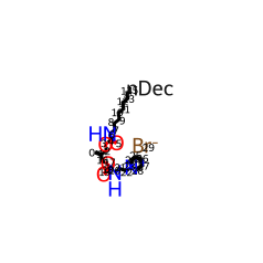 C=C(COC(=O)NCCCCCCCCCCCCCCCCCC)COC(=O)NCC[n+]1ccccc1.[Br-]